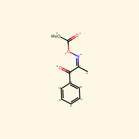 COC(=O)O/N=C(/C)C(=O)c1ccccc1